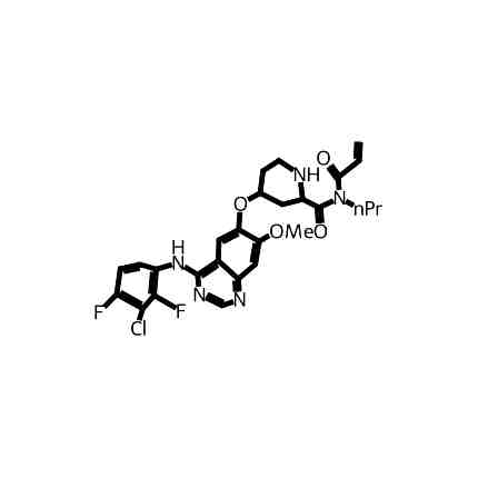 C=CC(=O)N(CCC)C(=O)C1CC(Oc2cc3c(Nc4ccc(F)c(Cl)c4F)ncnc3cc2OC)CCN1